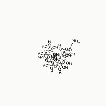 NCCCCO[C@H]1OC(CO)[C@H](O[C@H]2OC(CO)[C@@H](O[C@@H]3OC(CO)[C@@H](O[C@H]4OC(CO)[C@H](O[C@H]5OC(CO)[C@@H](O[C@@H]6OC(CO)[C@@H](O)C(O)C6O)C(O)C5O)C(O)C4O)C(O)C3O)C(O)C2O)C(O)C1O